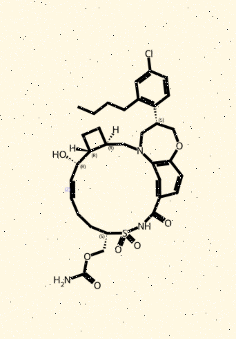 CCCCc1cc(Cl)ccc1[C@@H]1COc2ccc3cc2N(C1)C[C@@H]1CC[C@H]1[C@@H](O)/C=C\CC[C@@H](COC(N)=O)S(=O)(=O)NC3=O